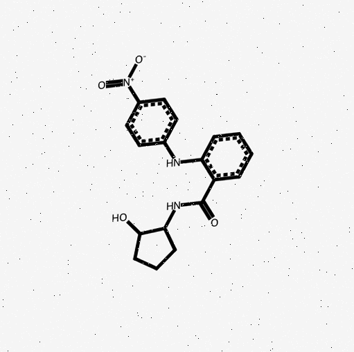 O=C(NC1CCCC1O)c1ccccc1Nc1ccc([N+](=O)[O-])cc1